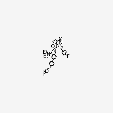 CCN(CC)CCN(Cc1ccc(-c2ccc(CCOSI)cc2)cc1)C(=O)Cn1c(SCc2ccc(F)cc2)nc(=O)c2c1CCC2